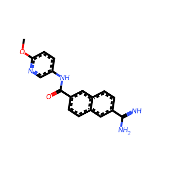 COc1ccc(NC(=O)c2ccc3cc(C(=N)N)ccc3c2)cn1